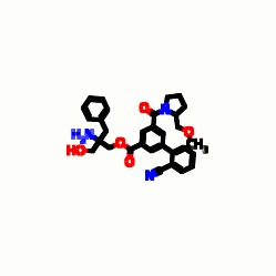 COCC1CCCN1C(=O)c1cc(C(=O)OCC(N)(CO)Cc2ccccc2)cc(-c2ccccc2C#N)c1